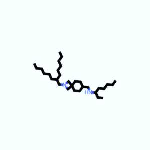 CCCCCCC(CCCCCC)CN1CC2(CCC(CNC(CC)CCCCC)CC2)C1